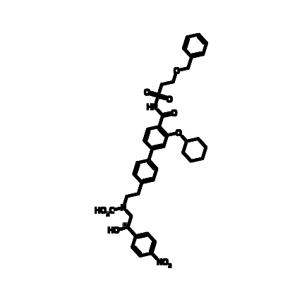 O=C(NS(=O)(=O)CCOCc1ccccc1)c1ccc(-c2ccc(CCN(C[C@H](O)c3ccc([N+](=O)[O-])cc3)C(=O)O)cc2)cc1OC1CCCCC1